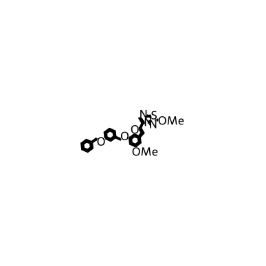 COc1cc(OCc2cccc(OCc3ccccc3)c2)c2oc(-c3cnc4sc(OC)nn34)cc2c1